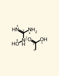 CC(=O)O.N=C(N)NO